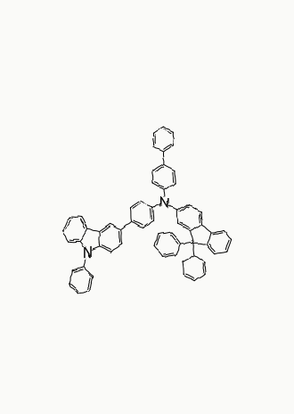 C1=CCC(C2(c3ccccc3)c3ccccc3-c3ccc(N(c4ccc(-c5ccccc5)cc4)c4ccc(-c5ccc6c(c5)c5ccccc5n6-c5ccccc5)cc4)cc32)C=C1